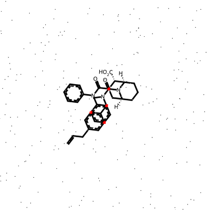 C=CCc1ccc(CN(C)C(=O)N2[C@H]3CCC[C@@H]2[C@@H](C(=O)O)N(C(=O)N(c2ccccc2)c2ccccc2)C3)cc1